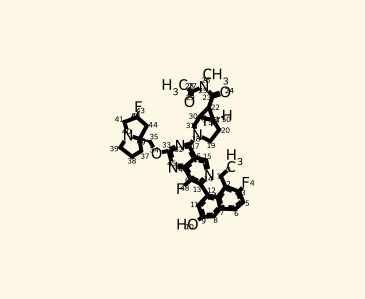 CCc1c(F)ccc2cc(O)cc(-c3ncc4c(N5CC[C@@H]6C(C(=O)N(C)C(C)=O)[C@@H]6C5)nc(OC[C@@]56CCCN5C[C@H](F)C6)nc4c3F)c12